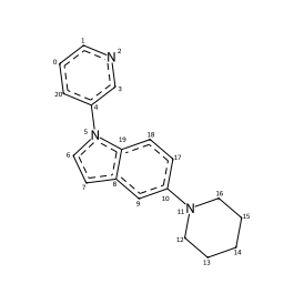 c1cncc(-n2ccc3cc(N4CCCCC4)ccc32)c1